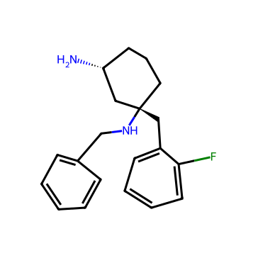 N[C@@H]1CCC[C@](Cc2ccccc2F)(NCc2ccccc2)C1